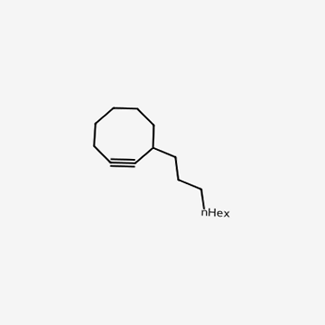 CCCCCCCCCC1C#CCCCCC1